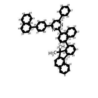 CC1(C)c2ccc3ccccc3c2-c2cccc(-c3ccc(-c4nc(-c5ccccc5)cc(-c5ccc(-c6cccc7ccccc67)cc5)n4)c4ccccc34)c21